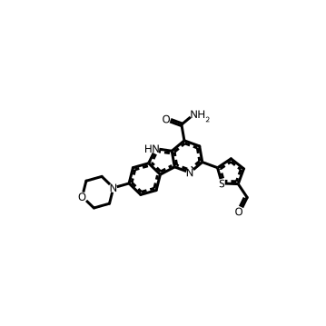 NC(=O)c1cc(-c2ccc(C=O)s2)nc2c1[nH]c1cc(N3CCOCC3)ccc12